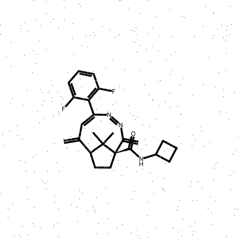 C=C1/C=C(c2c(F)cccc2F)\N=N/C(=C)[C@]2(C(=O)NC3CCC3)CCC1C2(C)C